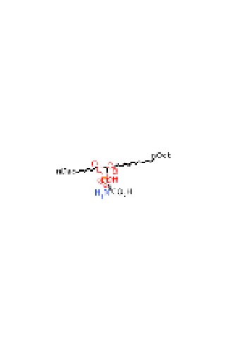 CCCCCCCC/C=C\CCCCCCCCCC(=O)O[C@H](COC(=O)CCCCCCCCCCCCCCC)COP(=O)(O)OC[C@H](N)C(=O)O